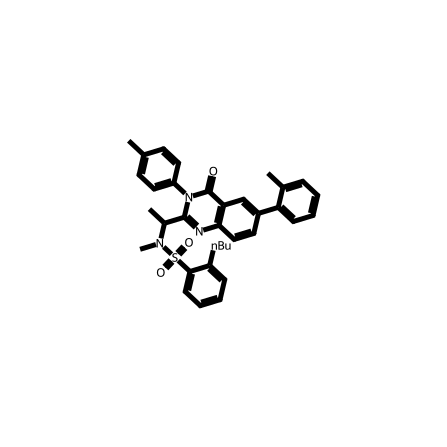 CCCCc1ccccc1S(=O)(=O)N(C)C(C)c1nc2ccc(-c3ccccc3C)cc2c(=O)n1-c1ccc(C)cc1